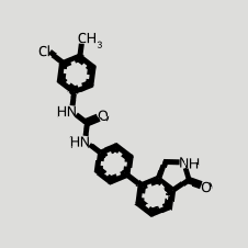 Cc1ccc(NC(=O)Nc2ccc(-c3cccc4c3CNC4=O)cc2)cc1Cl